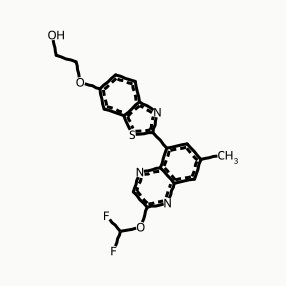 Cc1cc(-c2nc3ccc(OCCO)cc3s2)c2ncc(OC(F)F)nc2c1